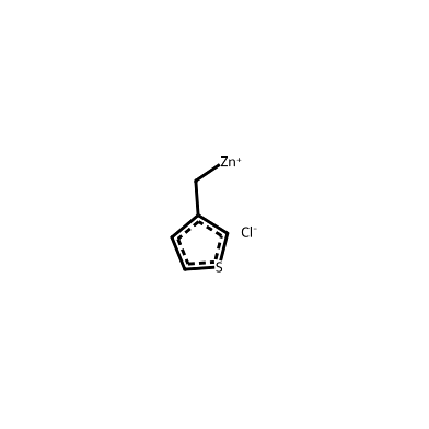 [Cl-].[Zn+][CH2]c1ccsc1